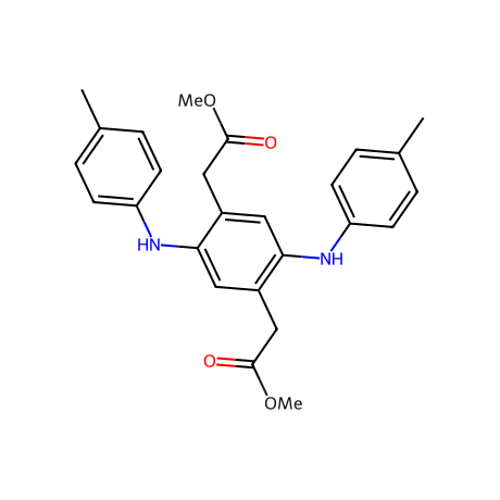 COC(=O)Cc1cc(Nc2ccc(C)cc2)c(CC(=O)OC)cc1Nc1ccc(C)cc1